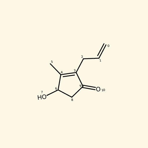 C=CCC1=C(C)[C](O)CC1=O